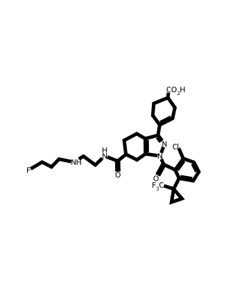 O=C(O)C1CC=C(c2nn(C(=O)c3c(Cl)cccc3C3(C(F)(F)F)CC3)c3c2CCC(C(=O)NCCNCCCF)C3)CC1